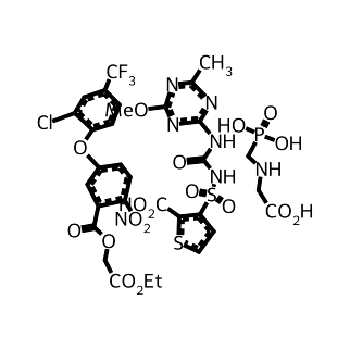 CCOC(=O)COC(=O)c1cc(Oc2ccc(C(F)(F)F)cc2Cl)ccc1[N+](=O)[O-].COc1nc(C)nc(NC(=O)NS(=O)(=O)c2ccsc2C(=O)O)n1.O=C(O)CNCP(=O)(O)O